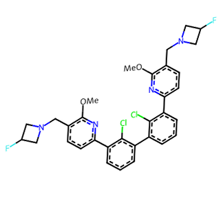 COc1nc(-c2cccc(-c3cccc(-c4ccc(CN5CC(F)C5)c(OC)n4)c3Cl)c2Cl)ccc1CN1CC(F)C1